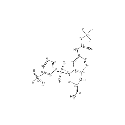 CC(C)(C)OC(=O)Nc1ccc2c(c1)N(S(=O)(=O)c1cccc(S(C)(=O)=O)c1)C[C@H](CO)O2